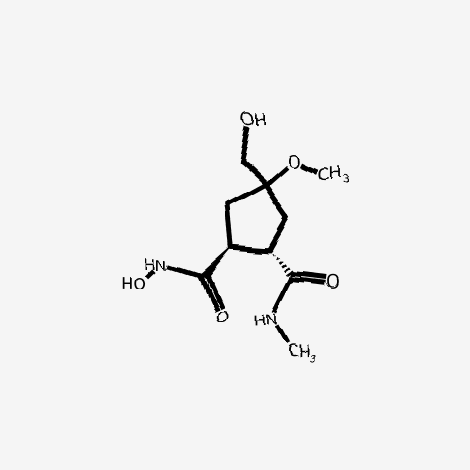 CNC(=O)[C@H]1CC(CO)(OC)C[C@@H]1C(=O)NO